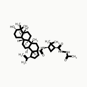 C=C(C)[C@@H]1CC[C@]2(C(=O)N[C@@H]3C[C@H](C(=O)NNC(C)=O)C3(C)C)CC[C@]3(C)[C@H](CC[C@@H]4[C@@]5(C)CC[C@H](O)C(C)(C)[C@@H]5CC[C@]43C)[C@@H]12